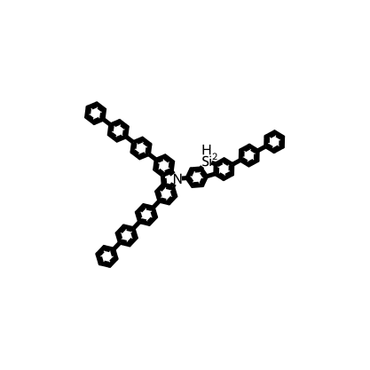 c1ccc(-c2ccc(-c3ccc(-c4ccc5c(c4)c4cc(-c6ccc(-c7ccc(-c8ccccc8)cc7)cc6)ccc4n5-c4ccc5c(c4)[SiH2]c4cc(-c6ccc(-c7ccccc7)cc6)ccc4-5)cc3)cc2)cc1